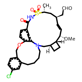 CO[C@H]1/C=C/[C@H](CC=O)C[C@@H](C)S(=O)(=O)NC(=O)c2ccc3c(c2)N(CCCCc2cc(Cl)ccc2CO3)C[C@@H]2CC[C@H]21